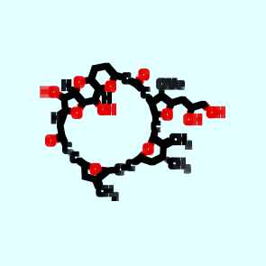 C=C1CC2CCC(=O)C[C@H]3OC4C(O)[C@H]5OC(CCC5O[C@H]4C3O)CC(=O)CC3C(CC4OC(CCC1O2)C[C@@H](C)C4=C)OC(CC(O)CO)[C@@H]3OC